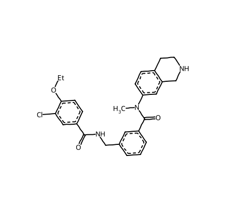 CCOc1ccc(C(=O)NCc2cccc(C(=O)N(C)c3ccc4c(c3)CNCC4)c2)cc1Cl